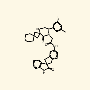 O=C(CN1C(=O)C2(CC3(CCOCC3)C2)NCC1c1cc(F)cc(F)c1)Nc1ccc2c(c1)CC1(C2)C(=O)Nc2ccccc21